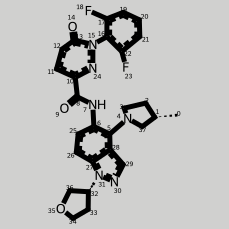 C[C@H]1CCN(c2c(NC(=O)c3ccc(=O)n(-c4c(F)cccc4F)n3)ccc3c2cnn3[C@@H]2CCOC2)C1